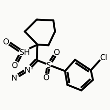 [N-]=[N+]=C(C1([SH](=O)=O)CCCCC1)S(=O)(=O)c1cccc(Cl)c1